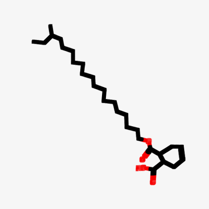 CCC(C)CCCCCCCCCCCCCCCCOC(=O)C1CC=CCC1C(=O)O